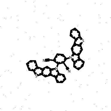 N#Cc1ccc(-n2c3ccccc3c3cc4sc5ccccc5c4cc32)c(C#N)c1-n1c2ccccc2c2cc3sc4ccccc4c3cc21